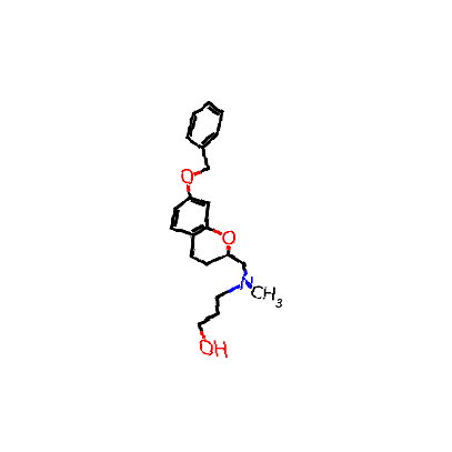 CN(CCCO)CC1CCc2ccc(OCc3ccccc3)cc2O1